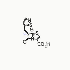 O=C(O)C1=CS[C@@H]2/C(=C\c3ccns3)C(=O)N12